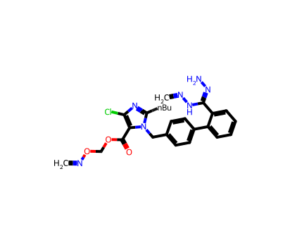 C=NN/C(=N\N)c1ccccc1-c1ccc(Cn2c(CCCC)nc(Cl)c2C(=O)OCON=C)cc1